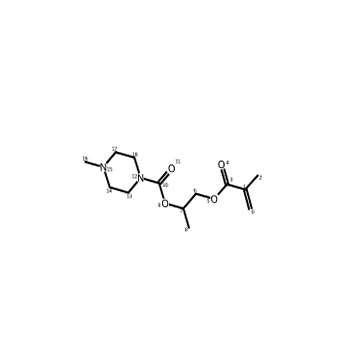 C=C(C)C(=O)OCC(C)OC(=O)N1CCN(C)CC1